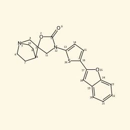 O=C1OC2(CN3CCC2CC3)CN1c1ccc(-c2cc3ccccc3o2)s1